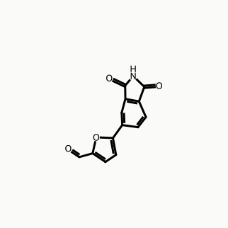 O=Cc1ccc(-c2ccc3c(c2)C(=O)NC3=O)o1